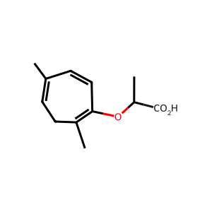 CC1=CCC(C)=C(OC(C)C(=O)O)C=C1